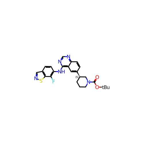 CC(C)(C)OC(=O)N1CCC[C@@H](c2ccc3ncnc(Nc4ccc5cnsc5c4F)c3c2)C1